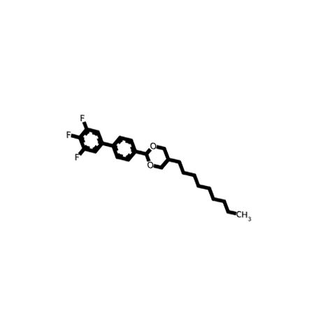 CCCCCCCCCC1COC(c2ccc(-c3cc(F)c(F)c(F)c3)cc2)OC1